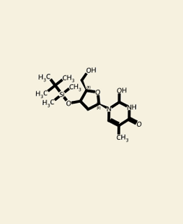 CC1=CN([C@H]2CC(O[Si](C)(C)C(C)(C)C)[C@@H](CO)O2)C(O)NC1=O